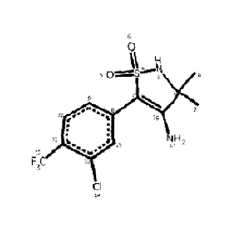 CC1(C)NS(=O)(=O)C(c2ccc(C(F)(F)F)c(Cl)c2)=C1N